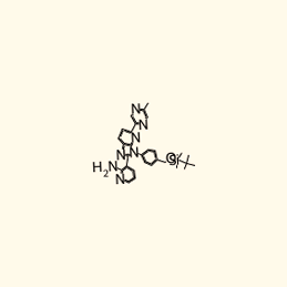 Cc1cnc(-c2ccc3nc(-c4cccnc4N)n(-c4ccc(CO[Si](C)(C)C(C)(C)C)cc4)c3n2)cn1